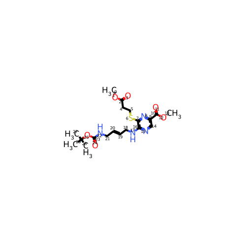 COC(=O)CCSc1nc(C(=O)OC)cnc1NCC=CCNC(=O)OC(C)(C)C